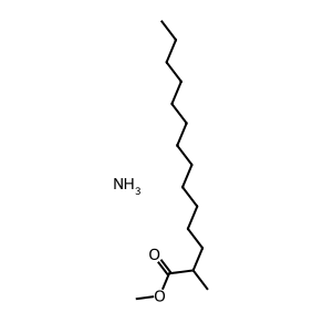 CCCCCCCCCCCCC(C)C(=O)OC.N